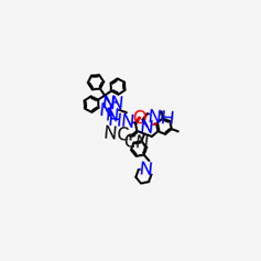 Cc1cc(C)cc(CC(C(C(=O)NCc2nnn(C(c3ccccc3)(c3ccccc3)c3ccccc3)n2)=C(C#N)C#N)(c2cccc(CN3CCCCC3)c2)N2CCNC2)c1